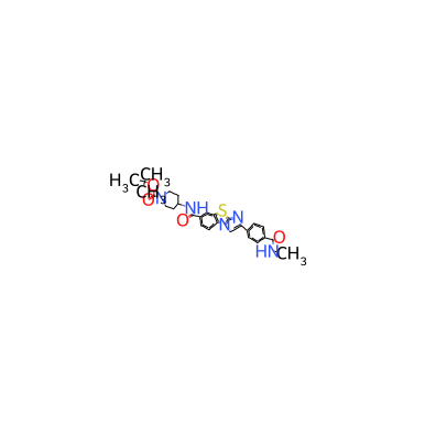 CNC(=O)c1ccc(-c2cn3c(n2)sc2cc(C(=O)NC4CCN(C(=O)OC(C)(C)C)CC4)ccc23)cc1